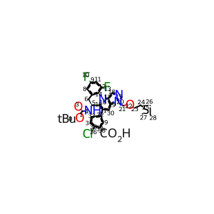 CC(C)(C)OC(=O)N[C@@H](Cc1cc(F)cc(F)c1)c1nc2cnn(COCC[Si](C)(C)C)c2cc1-c1ccc(Cl)c(C(=O)O)c1